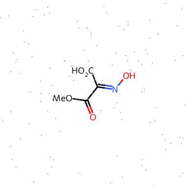 COC(=O)/C(=N/O)C(=O)O